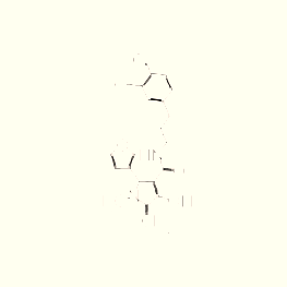 C=C1C(O)=C(C(=O)NCCCc2ccc(Cl)c(Cl)c2)C(c2ccoc2)N1C